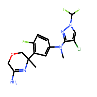 CN(c1ccc(F)c(C2(C)COCC(N)=N2)c1)c1nn(C(F)F)cc1Cl